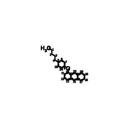 CCCCCc1ccc(Oc2cccc3cc4ccccc4cc23)cc1